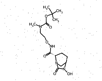 CN(CCONC(=O)[C@@H]1CCC2CN1C(=O)N2O)C(=O)OC(C)(C)C